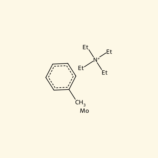 CC[N+](CC)(CC)CC.Cc1ccccc1.[Mo]